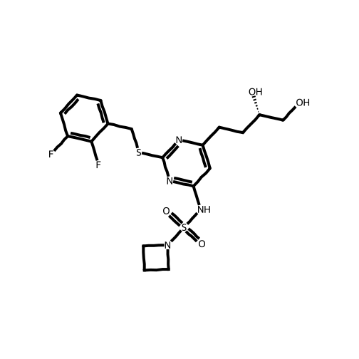 O=S(=O)(Nc1cc(CC[C@H](O)CO)nc(SCc2cccc(F)c2F)n1)N1CCC1